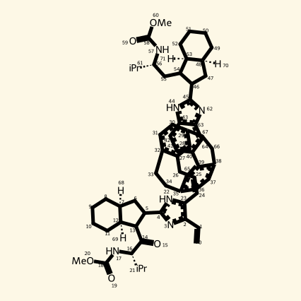 C=Cc1nc(C2C[C@@H]3CCCC[C@@H]3C2C(=O)[C@@H](NC(=O)OC)C(C)C)[nH]c1/C=C\Cc1cc2ccc1CCc1ccc(c(-c3ccc4[nH]c(C5C[C@@H]6CCCC[C@@H]6C5C[C@@H](NC(=O)OC)C(C)C)nc4c3)c1)CC2